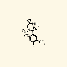 CS(=O)(=O)N(CC1(N)CC1)C1(c2ccc(F)c(C(F)(F)F)c2)CC1